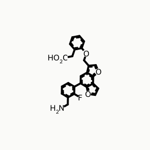 NCc1cccc(-c2cc3c(COc4ccccc4CC(=O)O)coc3c3ccoc23)c1F